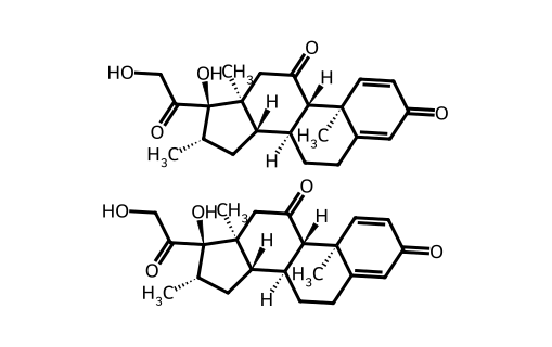 C[C@H]1C[C@H]2[C@@H]3CCC4=CC(=O)C=C[C@]4(C)[C@H]3C(=O)C[C@]2(C)[C@@]1(O)C(=O)CO.C[C@H]1C[C@H]2[C@@H]3CCC4=CC(=O)C=C[C@]4(C)[C@H]3C(=O)C[C@]2(C)[C@@]1(O)C(=O)CO